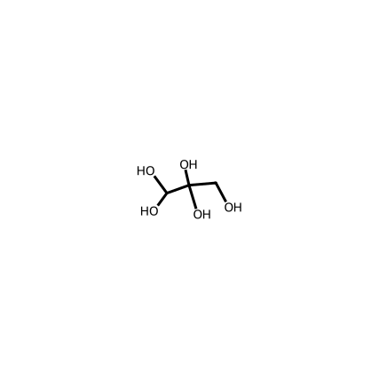 OCC(O)(O)C(O)O